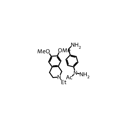 CC(=O)N(N)c1ccc(CN)cc1.CCN1CCc2cc(OC)c(OC)cc2C1